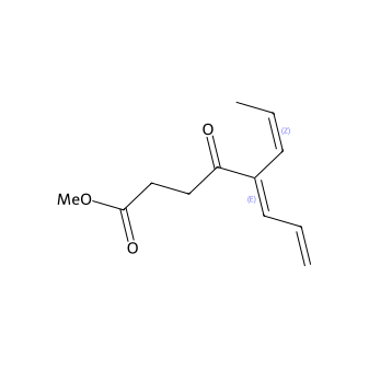 C=C/C=C(\C=C/C)C(=O)CCC(=O)OC